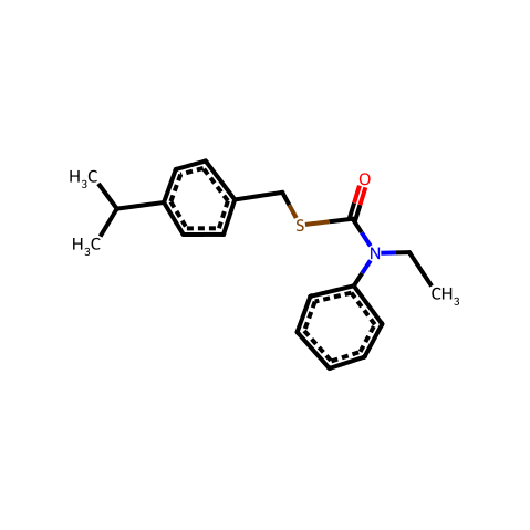 CCN(C(=O)SCc1ccc(C(C)C)cc1)c1ccccc1